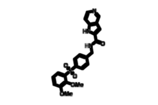 COc1cccc(S(=O)(=O)c2ccc(CNC(=O)c3cc4cnccc4[nH]3)cc2)c1OC